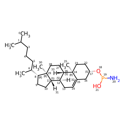 CC(C)CCCC(C)[C@H]1CC[C@H]2[C@@H]3CC=C4C[C@@H](OP(N)O)CC[C@]4(C)[C@H]3CC[C@]12C